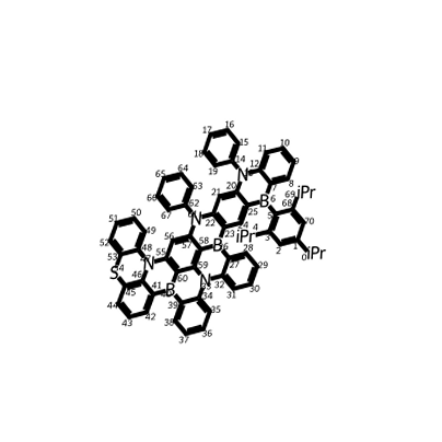 CC(C)c1cc(C(C)C)c(B2c3ccccc3N(c3ccccc3)c3cc4c(cc32)B2c3ccccc3N3c5ccccc5B5c6cccc7c6N(c6ccccc6S7)c6cc(c2c3c65)N4c2ccccc2)c(C(C)C)c1